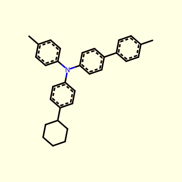 Cc1ccc(-c2ccc(N(c3ccc(C)cc3)c3ccc(C4CCCCC4)cc3)cc2)cc1